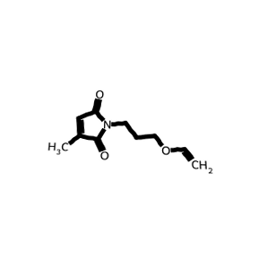 C=COCCCN1C(=O)C=C(C)C1=O